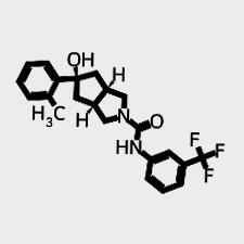 Cc1ccccc1[C@]1(O)C[C@H]2CN(C(=O)Nc3cccc(C(F)(F)F)c3)C[C@H]2C1